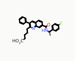 C[C@@H](NC(=O)c1ccc2cc(-c3ccccc3)c(CCCCC(=O)O)nc2c1)c1ccc(F)cc1